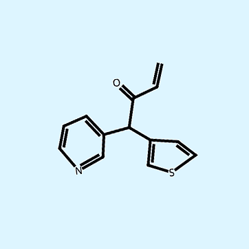 C=CC(=O)C(c1cccnc1)c1ccsc1